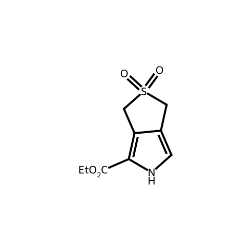 CCOC(=O)c1[nH]cc2c1CS(=O)(=O)C2